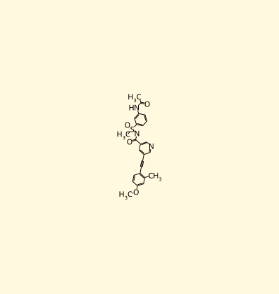 COc1ccc(C#Cc2cncc(C(=O)N=S(C)(=O)c3cccc(NC(C)=O)c3)c2)c(C)c1